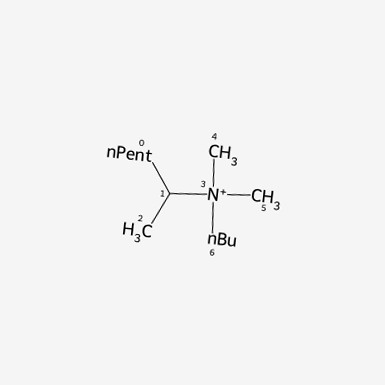 CCCCCC(C)[N+](C)(C)CCCC